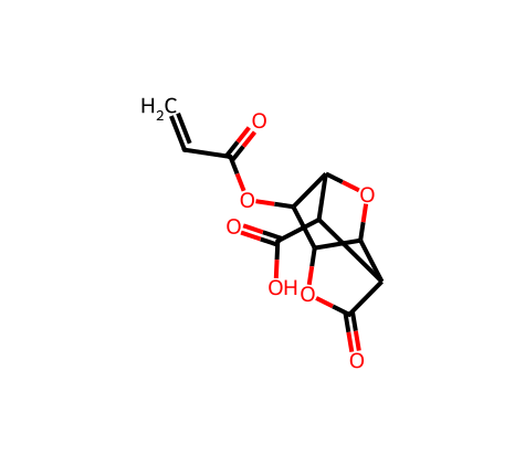 C=CC(=O)OC1C2OC(=O)C3C2OC1C3C(=O)O